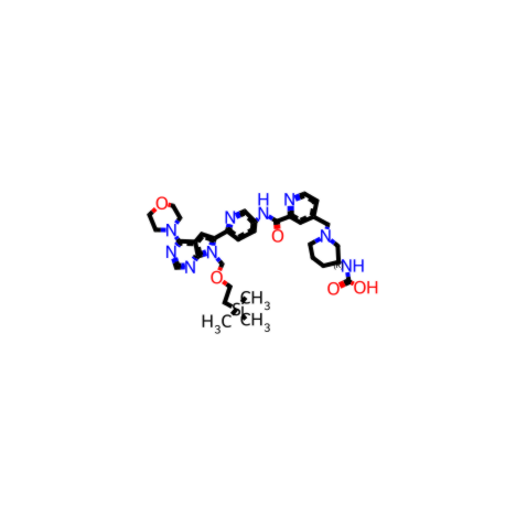 C[Si](C)(C)CCOCn1c(-c2ccc(NC(=O)c3cc(CN4CCC[C@@H](NC(=O)O)C4)ccn3)cn2)cc2c(N3CCOCC3)ncnc21